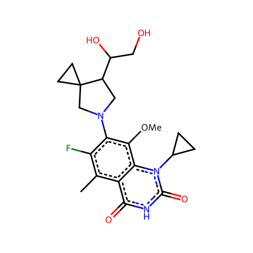 COc1c(N2CC(C(O)CO)C3(CC3)C2)c(F)c(C)c2c(=O)[nH]c(=O)n(C3CC3)c12